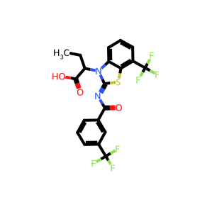 CCC(C(=O)O)n1/c(=N/C(=O)c2cccc(C(F)(F)F)c2)sc2c(C(F)(F)F)cccc21